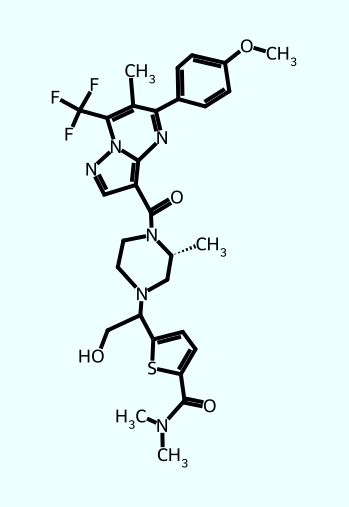 COc1ccc(-c2nc3c(C(=O)N4CCN(C(CO)c5ccc(C(=O)N(C)C)s5)C[C@H]4C)cnn3c(C(F)(F)F)c2C)cc1